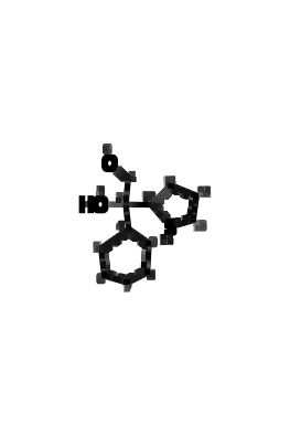 O=CC(O)(c1ccccc1)c1cccs1